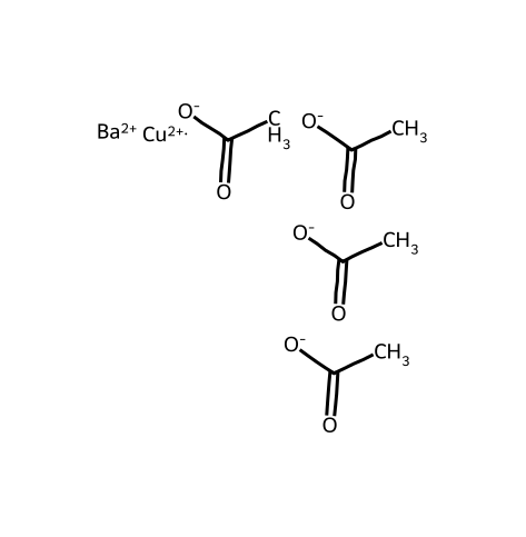 CC(=O)[O-].CC(=O)[O-].CC(=O)[O-].CC(=O)[O-].[Ba+2].[Cu+2]